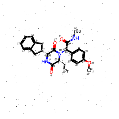 CC(C)C[C@@H]1C(=O)N[C@H](C2Cc3ccccc3C2)C(=O)N1[C@@H](C(=O)NC(C)(C)C)c1ccc(OC(F)(F)F)cc1